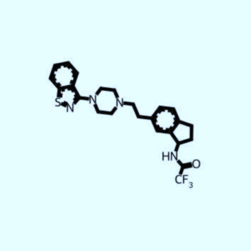 O=C(NC1CCc2ccc(CCN3CCN(c4nsc5ccccc45)CC3)cc21)C(F)(F)F